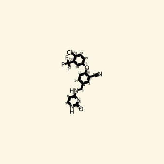 N#Cc1cc(CNc2cc[nH]c(=O)n2)ccc1Oc1ccc(Cl)c(C(F)(F)F)c1